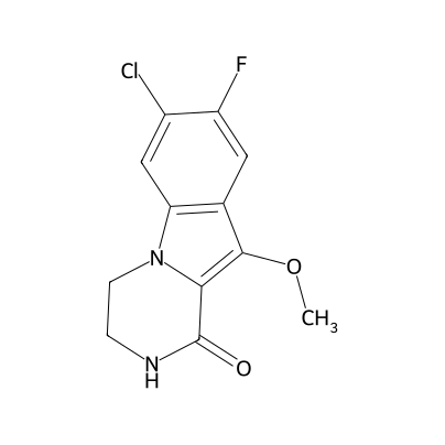 COc1c2n(c3cc(Cl)c(F)cc13)CCNC2=O